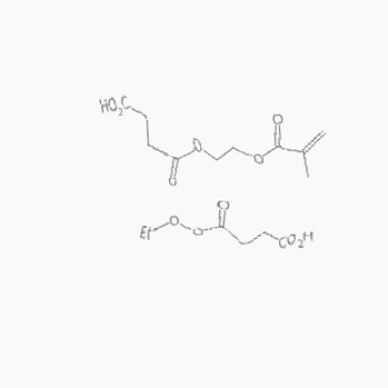 C=C(C)C(=O)OCCOC(=O)CCC(=O)O.CCOOC(=O)CCC(=O)O